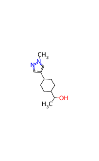 CC(O)C1CCC(c2cnn(C)c2)CC1